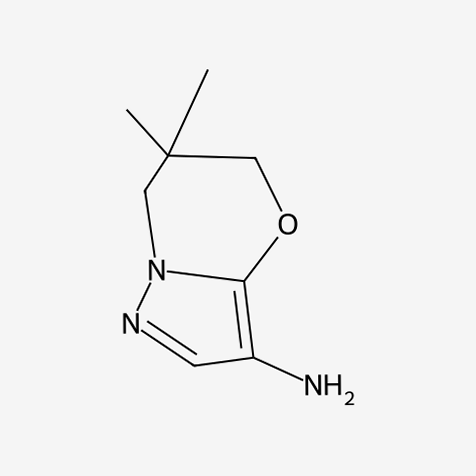 CC1(C)COc2c(N)cnn2C1